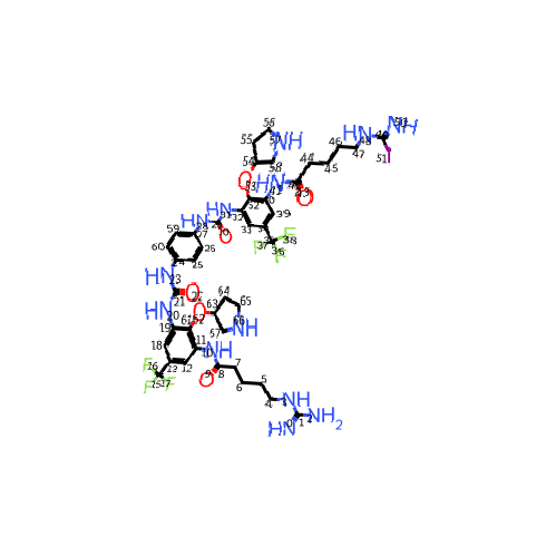 N=C(N)NCCCCC(=O)Nc1cc(C(F)(F)F)cc(NC(=O)Nc2ccc(NC(=O)Nc3cc(C(F)(F)F)cc(NC(=O)CCCCNC(=N)I)c3OC3CCNC3)cc2)c1OC1CCNC1